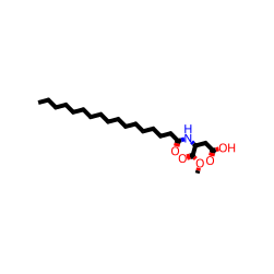 CCCCCCCCCCCCCCCCC(=O)NC(CC(=O)O)C(=O)OC